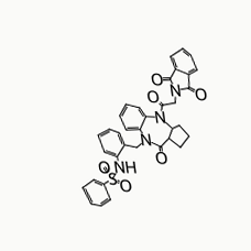 O=C1c2ccccc2C(=O)N1CC(=O)N1c2ccccc2N(Cc2ccccc2NS(=O)(=O)c2ccccc2)C(=O)C2CCCC21